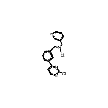 CCN(Cc1cccnc1)Cc1cccc(-c2ccnc(Cl)n2)c1